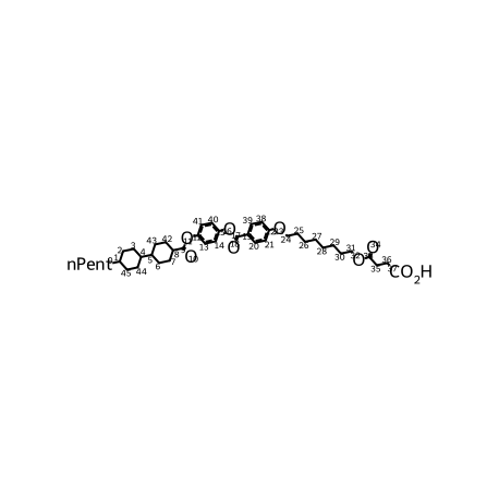 CCCCCC1CCC(C2CCC(C(=O)Oc3ccc(OC(=O)c4ccc(OCCCCCCCCOC(=O)CCC(=O)O)cc4)cc3)CC2)CC1